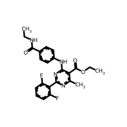 CCNC(=O)c1ccc(Nc2nc(-c3c(F)cccc3F)nc(C)c2C(=O)OCC)cc1